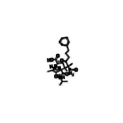 CCC(O)C(N)(C(=O)NC(C)C)C(C)(C[C@H](N)C(=O)O)C(C)([PH2]=O)C(=O)CCCc1ccccc1